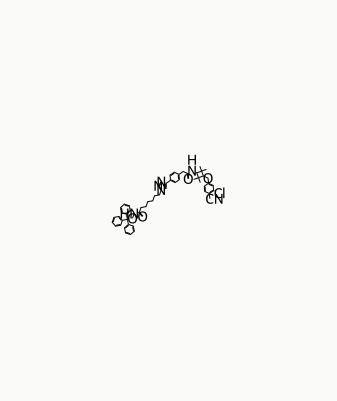 CC1(C)C(NC(=O)Cc2ccc(-c3cn(CCCCCCC(=O)NOC(c4ccccc4)(c4ccccc4)c4ccccc4)nn3)cc2)C(C)(C)C1Oc1ccc(C#N)c(Cl)c1